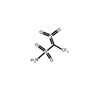 NS(=O)(=O)C(=S(=O)=O)C(F)(F)F